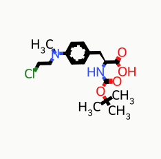 CN(CCCl)c1ccc(C[C@H](NC(=O)OC(C)(C)C)C(=O)O)cc1